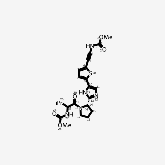 COC(=O)NC#Cc1ccc(-c2cnc([C@@H]3CCCN3C(=O)C(NC(=O)OC)C(C)C)[nH]2)s1